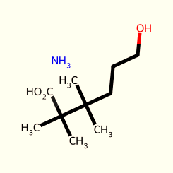 CC(C)(CCCO)C(C)(C)C(=O)O.N